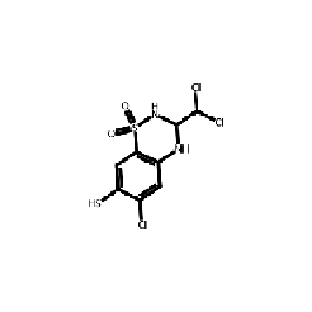 O=S1(=O)NC(C(Cl)Cl)Nc2cc(Cl)c(S)cc21